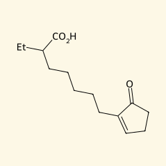 CCC(CCCCCC1=CCCC1=O)C(=O)O